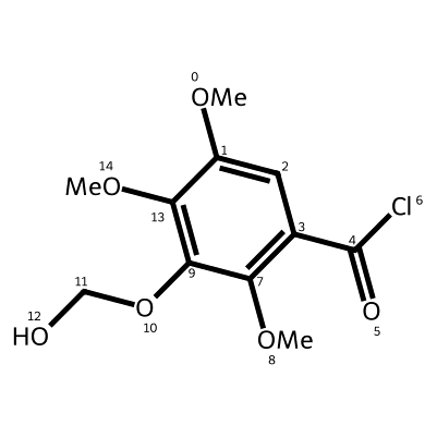 COc1cc(C(=O)Cl)c(OC)c(OCO)c1OC